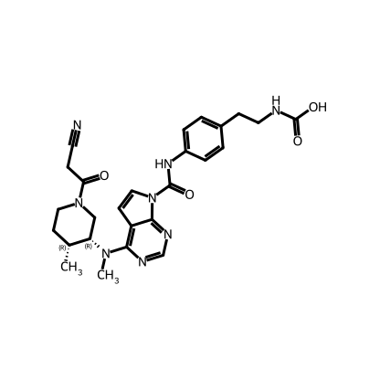 C[C@@H]1CCN(C(=O)CC#N)C[C@@H]1N(C)c1ncnc2c1ccn2C(=O)Nc1ccc(CCNC(=O)O)cc1